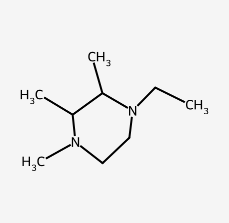 CCN1CCN(C)C(C)C1C